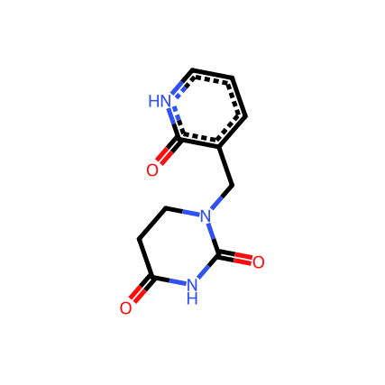 O=C1CCN(Cc2ccc[nH]c2=O)C(=O)N1